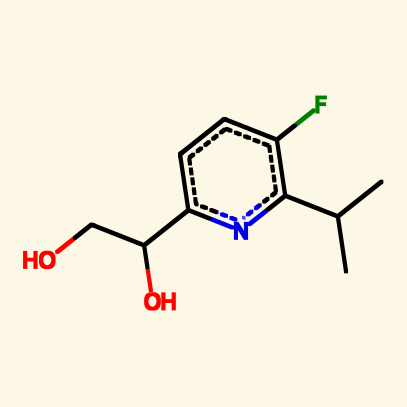 CC(C)c1nc(C(O)CO)ccc1F